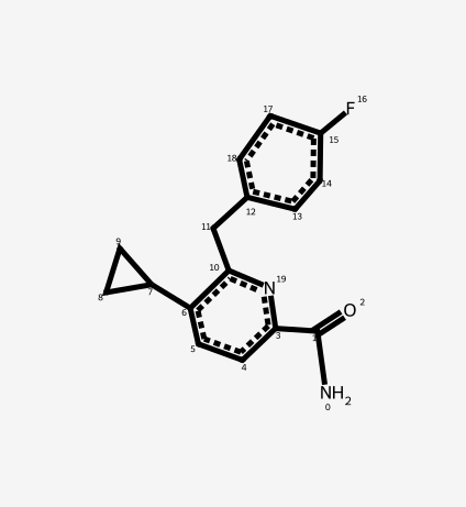 NC(=O)c1ccc(C2CC2)c(Cc2ccc(F)cc2)n1